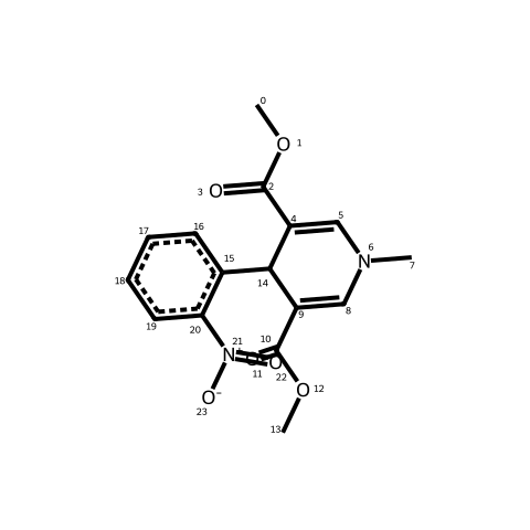 COC(=O)C1=CN(C)C=C(C(=O)OC)C1c1ccccc1[N+](=O)[O-]